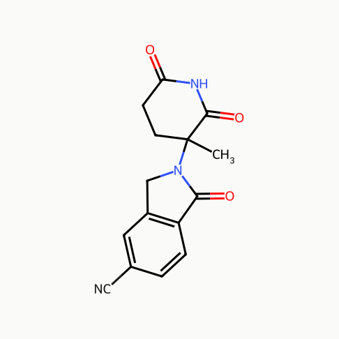 CC1(N2Cc3cc(C#N)ccc3C2=O)CCC(=O)NC1=O